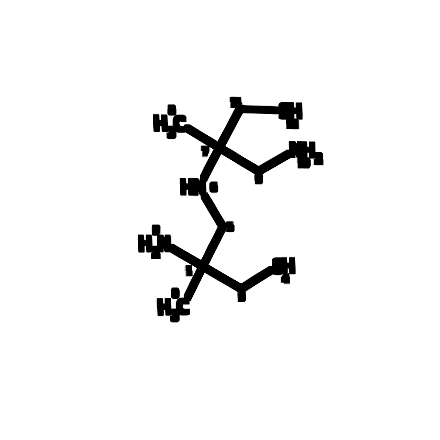 CC(N)(CS)CNC(C)(CN)CS